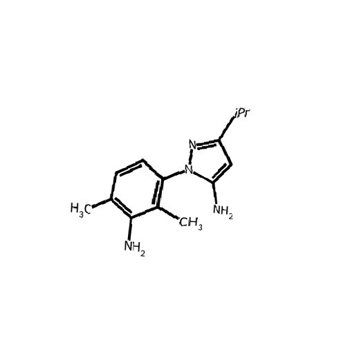 Cc1ccc(-n2nc(C(C)C)cc2N)c(C)c1N